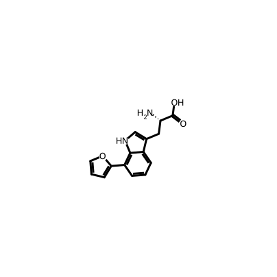 N[C@@H](Cc1c[nH]c2c(-c3ccco3)cccc12)C(=O)O